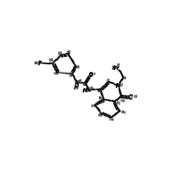 CC(C)Cn1cc(NC(=O)Nc2cccc(F)c2)c2ccccc2c1=O